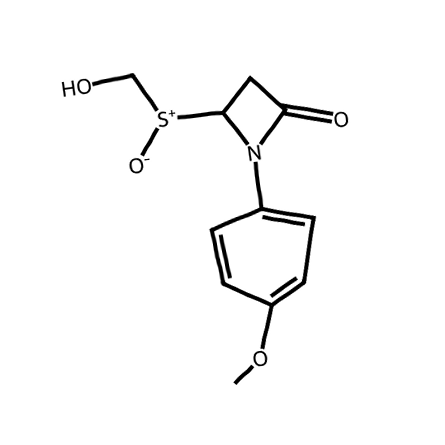 COc1ccc(N2C(=O)CC2[S+]([O-])CO)cc1